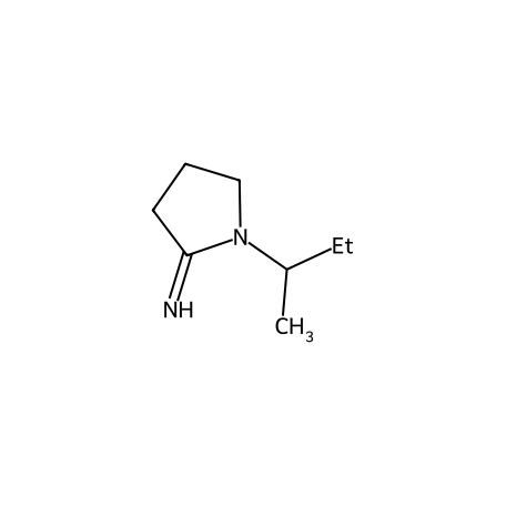 CCC(C)N1CCCC1=N